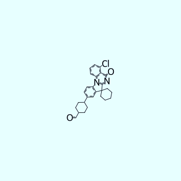 O=CC1CCC(c2ccc3c(c2)C2(CCCCC2)c2nc(=O)c4c(Cl)cccc4n2-3)CC1